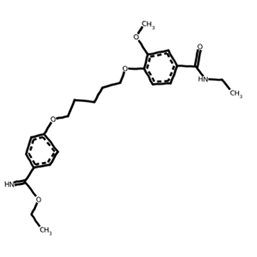 CCNC(=O)c1ccc(OCCCCCOc2ccc(C(=N)OCC)cc2)c(OC)c1